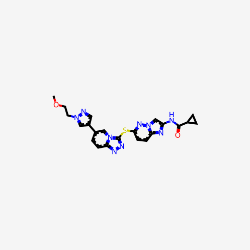 COCCn1cc(-c2ccc3nnc(Sc4ccc5nc(NC(=O)C6CC6)cn5n4)n3c2)cn1